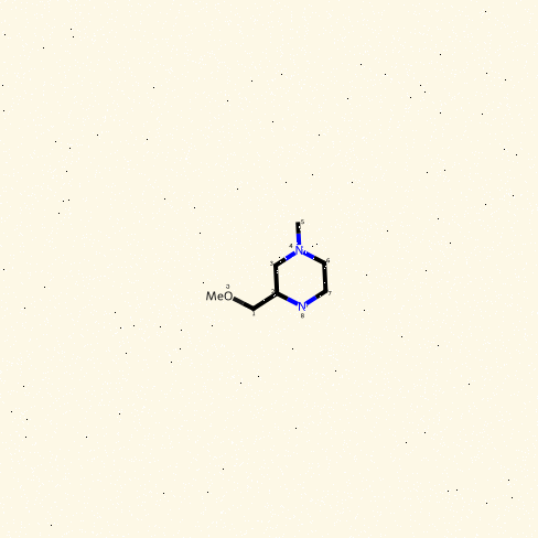 COCC1CN(C)CC[N]1